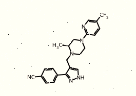 C[C@H]1CN(c2ccc(C(F)(F)F)cn2)CCN1Cc1c[nH]nc1-c1ccc(C#N)cc1